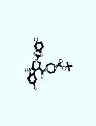 CC(C)(C)OC(=O)N1CCN(C(=O)C2CN(c3nc4ccc(Cl)cc4s3)Cc3[nH]c4ccc(Cl)cc4c32)CC1